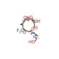 C/C(=C\c1csc(CO)n1)[C@@H]1CC2OC2(C(F)(F)F)CC2CC2[C@H](C)[C@H](O)[C@@H](C)C(=O)C(C)(C)[C@@H](O)CC(=O)O1